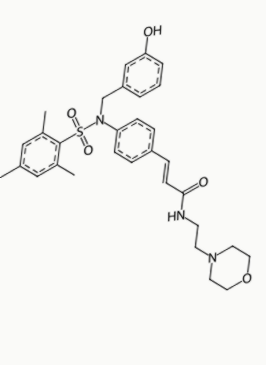 Cc1cc(C)c(S(=O)(=O)N(Cc2cccc(O)c2)c2ccc(C=CC(=O)NCCN3CCOCC3)cc2)c(C)c1